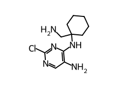 NCC1(Nc2nc(Cl)ncc2N)CCCCC1